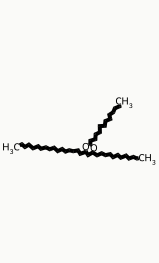 CCCCCCCCCCCCCCCCCC(CCCCCCCCCCCCCC)OC(=O)CCCCCCCCCCCCC